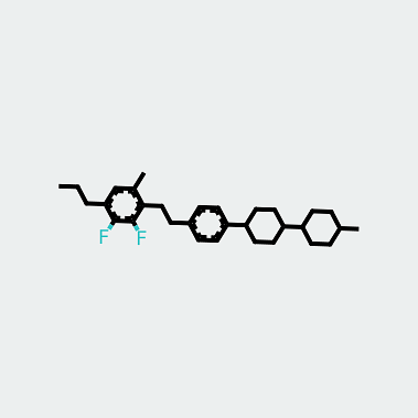 CCCc1cc(C)c(CCc2ccc(C3CCC(C4CCC(C)CC4)CC3)cc2)c(F)c1F